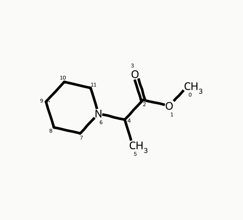 COC(=O)C(C)N1CC[CH]CC1